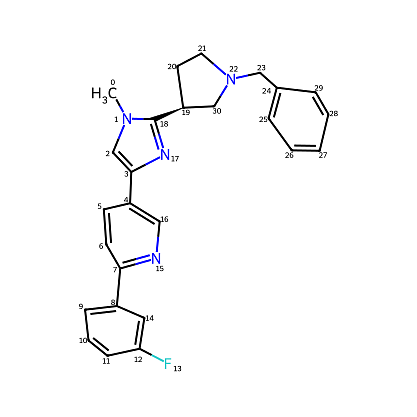 Cn1cc(-c2ccc(-c3cccc(F)c3)nc2)nc1[C@H]1CCN(Cc2ccccc2)C1